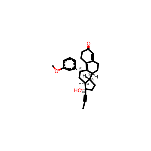 CC#C[C@]1(O)CC[C@H]2[C@@H]3CCC4=CC(=O)CCC4=C3[C@@H](c3cccc(OC)c3)C[C@@]21C